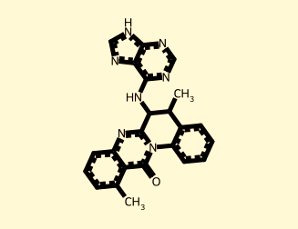 Cc1cccc2nc3n(c(=O)c12)-c1ccccc1C(C)C3Nc1ncnc2[nH]cnc12